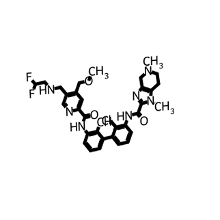 COCc1cc(C(=O)Nc2cccc(-c3cccc(NC(=O)c4nc5c(n4C)CCN(C)C5)c3Cl)c2C)ncc1CNCC(F)F